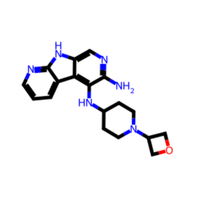 Nc1ncc2[nH]c3ncccc3c2c1NC1CCN(C2COC2)CC1